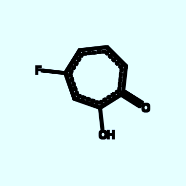 O=c1cccc(F)cc1O